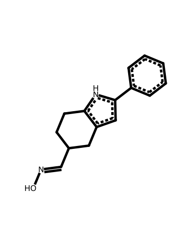 ON=CC1CCc2[nH]c(-c3ccccc3)cc2C1